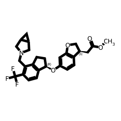 COC(=O)C[C@@H]1COc2cc(O[C@@H]3CCc4c3ccc(C(F)(F)F)c4CN3CC4CC4C3)ccc21